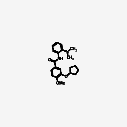 COc1ccc(C(=O)Nc2ccccc2N(C)C)cc1OC1CCCC1